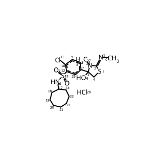 CN=C1SCC(O)(c2ccc(Cl)c(S(=O)(=O)NC3CCCCCCC3)c2)N1C.Cl